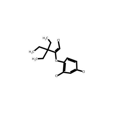 CCC(CC)(CC)C(=CCl)Oc1ccc(Cl)cc1Cl